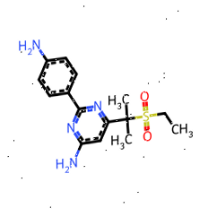 CCS(=O)(=O)C(C)(C)c1cc(N)nc(-c2ccc(N)cc2)n1